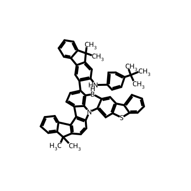 CC(C)(C)c1ccc(Nc2cc3c(cc2-c2ccc4c5c6c(ccc5n5c4c2Bc2cc4c(cc2-5)sc2ccccc24)C(C)(C)c2ccccc2-6)-c2ccccc2C3(C)C)cc1